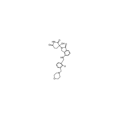 O=C1CCC(O)(N2Cc3c(NCc4cccc(CN5CCOCC5)c4F)cccc3C2=O)C(=O)N1